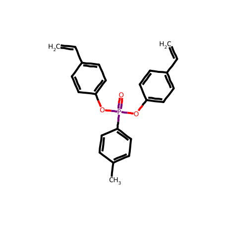 C=Cc1ccc(OP(=O)(Oc2ccc(C=C)cc2)c2ccc(C)cc2)cc1